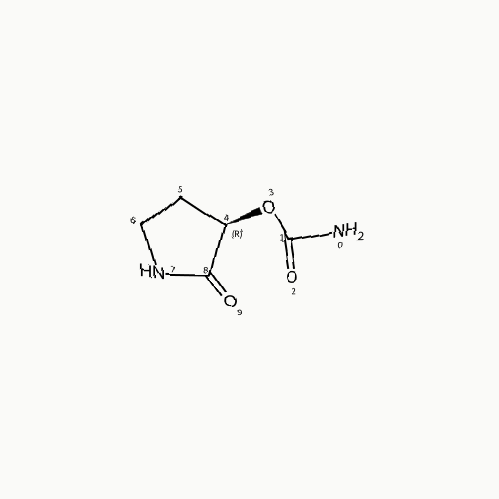 NC(=O)O[C@@H]1CCNC1=O